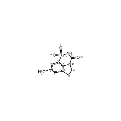 Cc1cc2c3c(c1)S(=O)(=O)NC(=O)N3CC2